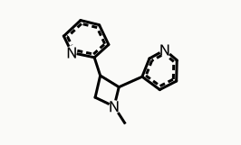 CN1CC(c2ccccn2)C1c1cccnc1